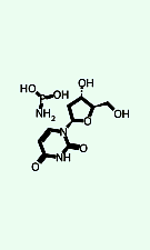 NP(O)O.O=c1ccn([C@H]2C[C@H](O)[C@@H](CO)O2)c(=O)[nH]1